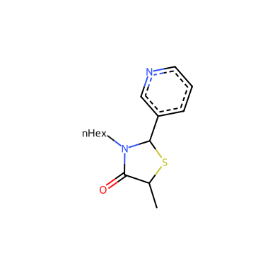 CCCCCCN1C(=O)C(C)SC1c1cccnc1